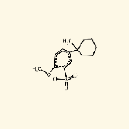 COc1ccc(C2(C)CCCCC2)cc1S(=O)(=O)Cl